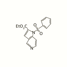 CCOC(=O)c1cc2cnccc2n1S(=O)(=O)c1ccccc1